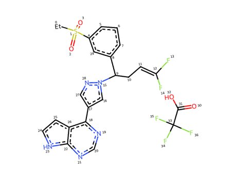 CCS(=O)(=O)c1cccc(C(CC=C(F)F)n2cc(-c3ncnc4[nH]ccc34)cn2)c1.O=C(O)C(F)(F)F